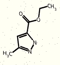 CCOC(=O)C1=CC(C)=N[N]1